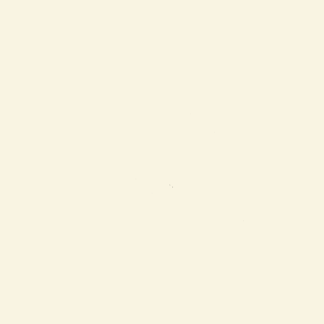 C=CC1(C(C)CC)c2ccccc2-c2cc(N(c3ccc4c(c3)C(C)(C)c3ccccc3-4)c3ccc4c(ccc5ccccc54)c3)ccc21